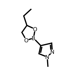 CCC1COB(c2cnn(C)c2)O1